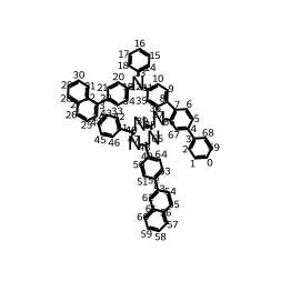 c1ccc(-c2ccc3c4ccc(N(c5ccccc5)c5ccc(-c6cccc7ccccc67)cc5)cc4n(-c4nc(-c5ccccc5)nc(-c5ccc(-c6ccc7ccccc7c6)cc5)n4)c3c2)cc1